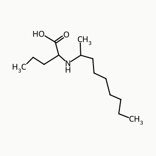 CCCCCCCC(C)NC(CCC)C(=O)O